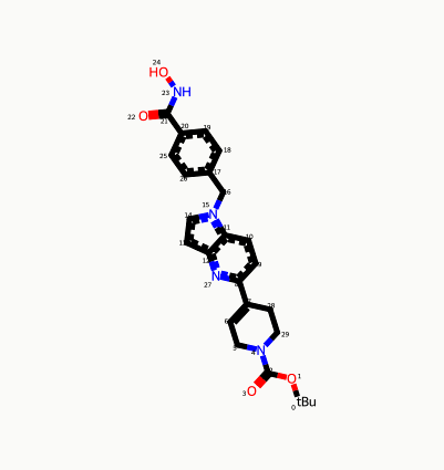 CC(C)(C)OC(=O)N1CC=C(c2ccc3c(ccn3Cc3ccc(C(=O)NO)cc3)n2)CC1